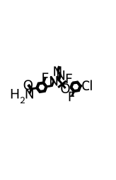 C=N/N=C(\N(C)Cc1ccc(C(N)=O)cc1F)C(C)(C)Oc1c(F)cc(Cl)cc1F